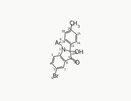 CC(=O)N1c2ccc(Br)cc2C(=O)C1(O)c1ccc(C)cc1